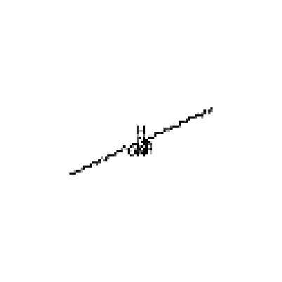 CCCCCCCCCCCCCCCCCC(=O)NC(O)C[C@H](O)CCCCCCCCCCCCCCC